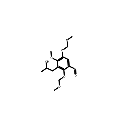 COCOc1cc(N=O)c(OCOC)c(CC(C)O)c1OC